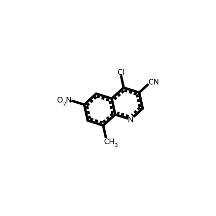 Cc1cc([N+](=O)[O-])cc2c(Cl)c(C#N)cnc12